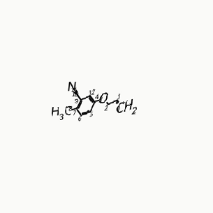 C=CCOc1ccc(C)c(C#N)c1